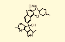 COc1nc2ccc(C3(O)c4ccc(C)nc4-c4nnn(C)c43)cc2c(Cl)c1OC1CCN(C)CC1